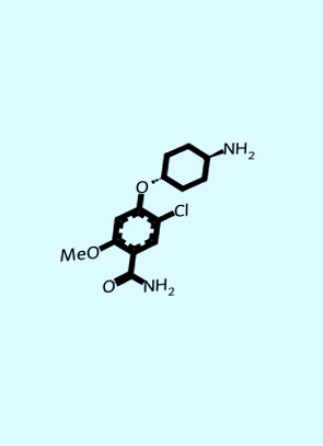 COc1cc(O[C@H]2CC[C@H](N)CC2)c(Cl)cc1C(N)=O